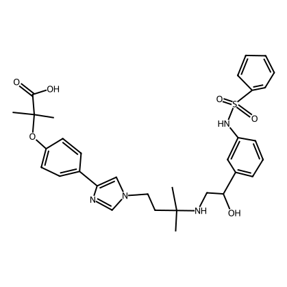 CC(C)(CCn1cnc(-c2ccc(OC(C)(C)C(=O)O)cc2)c1)NCC(O)c1cccc(NS(=O)(=O)c2ccccc2)c1